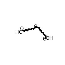 O=C(O)CCCCCCCC1O[C@@H]1CCCCCCCC(=O)O